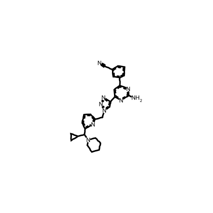 N#Cc1cccc(-c2cc(-c3cn(Cc4cccc(C(C5CC5)N5CCCCC5)n4)nn3)nc(N)n2)c1